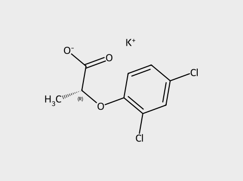 C[C@@H](Oc1ccc(Cl)cc1Cl)C(=O)[O-].[K+]